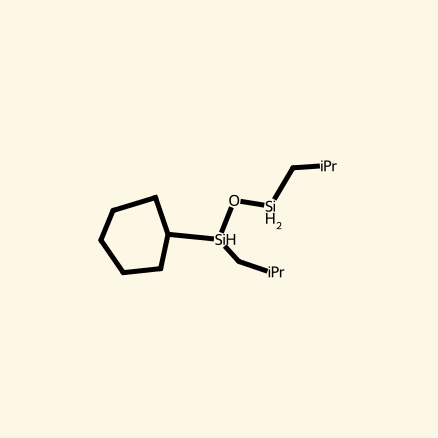 CC(C)C[SiH2]O[SiH](CC(C)C)C1CCCCC1